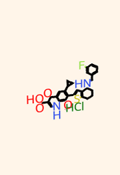 COc1c(-c2cc3c(s2)CCCC3NCc2cccc(F)c2)c(C2CC2)cc2c(=O)c(C(=O)O)c[nH]c12.Cl